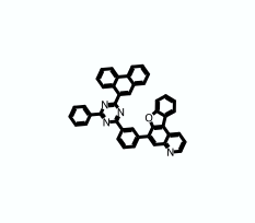 c1ccc(-c2nc(-c3cccc(-c4cc5ncccc5c5c4oc4ccccc45)c3)nc(-c3cc4ccccc4c4ccccc34)n2)cc1